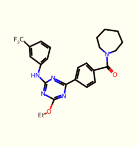 CCOc1nc(Nc2cccc(C(F)(F)F)c2)nc(-c2ccc(C(=O)N3CCCCCC3)cc2)n1